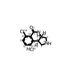 Cl.O=C1N[C@@H]2CNC[C@H]2c2cccc(Cl)c21